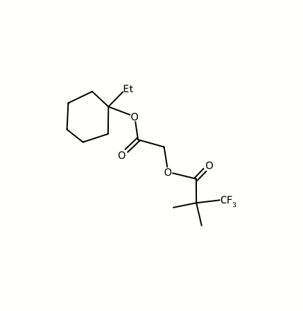 CCC1(OC(=O)COC(=O)C(C)(C)C(F)(F)F)CCCCC1